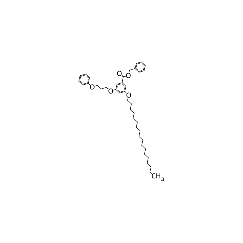 CCCCCCCCCCCCCCCCCCOc1cc(OCCCOc2ccccc2)cc(C(=O)OCc2ccccc2)c1